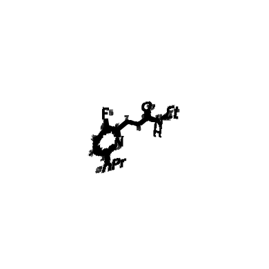 CCCc1ccc(F)c(CCC(=O)NCC)n1